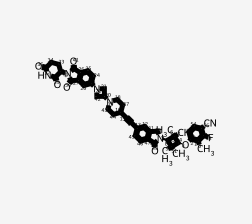 Cc1c(O[C@H]2C(C)(C)[C@H](N3Cc4cc(C#CC5CCN(C6CN(c7ccc8c(c7)C(=O)N(C7CCC(=O)NC7=O)C8=O)C6)CC5)ccc4C3=O)C2(C)C)ccc(C#N)c1F